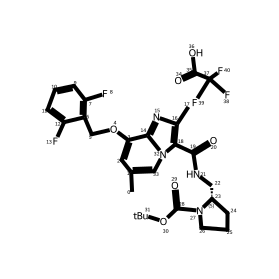 Cc1cc(OCc2c(F)cccc2F)c2nc(C)c(C(=O)NC[C@@H]3CCCN3C(=O)OC(C)(C)C)n2c1.O=C(O)C(F)(F)F